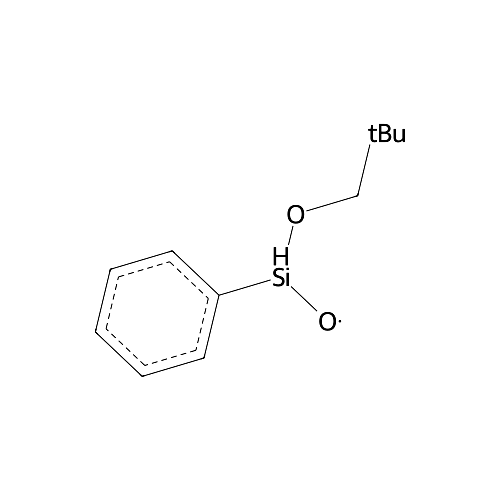 CC(C)(C)CO[SiH]([O])c1ccccc1